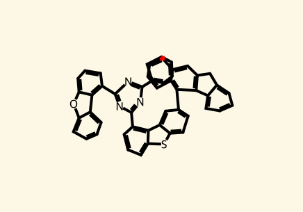 c1ccc(-c2nc(-c3cccc4oc5ccccc5c34)nc(-c3cccc4sc5ccc(-c6c7c(cc8ccccc68)Cc6ccccc6-7)cc5c34)n2)cc1